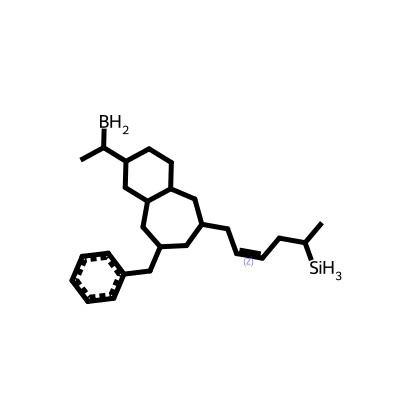 BC(C)C1CCC2CC(C/C=C\CC(C)[SiH3])CC(Cc3ccccc3)CC2C1